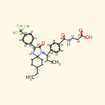 CCC1CCC2(CC1)N=C(c1ccc(C(F)(F)F)cc1)C(=O)N2C(CC)c1ccc(C(=O)NCCC(=O)O)cc1